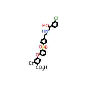 CCc1cc(Oc2cccc(S(=O)(=O)c3ccc(CCNC[C@H](O)c4cccc(Cl)c4)cc3)c2)ccc1C(=O)O